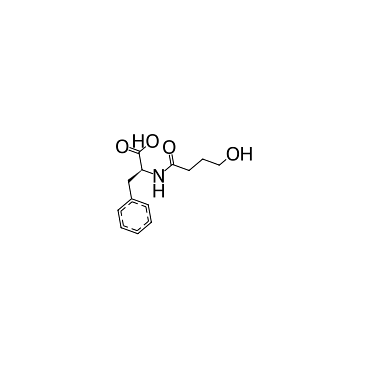 O=C(CCCO)N[C@@H](Cc1ccccc1)C(=O)O